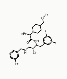 CCCC(C(=O)N[C@@H](Cc1cc(F)cc(F)c1)[C@H](O)CNCc1cccc(CC)c1)N1CCC(COCC)CC1